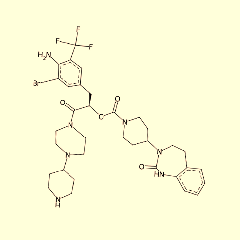 Nc1c(Br)cc(C[C@@H](OC(=O)N2CCC(N3CCc4ccccc4NC3=O)CC2)C(=O)N2CCN(C3CCNCC3)CC2)cc1C(F)(F)F